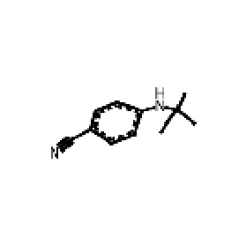 CC(C)(C)Nc1[c]cc(C#N)cc1